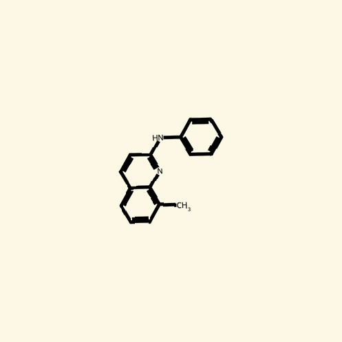 Cc1cccc2ccc(Nc3ccccc3)nc12